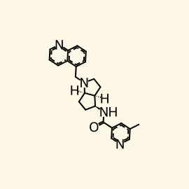 Cc1cncc(C(=O)N[C@H]2CC[C@@H]3[C@H]2CCN3Cc2cccc3ncccc23)c1